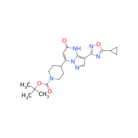 CC(C)(C)OC(=O)N1CCC(c2cc(=O)[nH]c3c(-c4noc(C5CC5)n4)cnn23)CC1